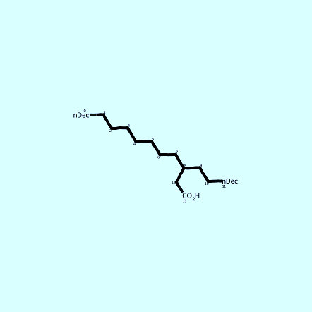 CCCCCCCCCCCCCCCCCC(CCCCCCCCCCCC)CC(=O)O